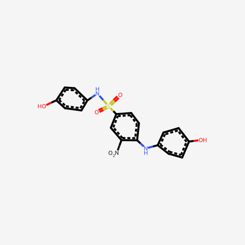 O=[N+]([O-])c1cc(S(=O)(=O)Nc2ccc(O)cc2)ccc1Nc1ccc(O)cc1